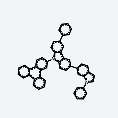 c1ccc(-c2ccc3c(c2)c2cc(-c4ccc5ccn(-c6ccccc6)c5c4)ccc2n3-c2ccc3c4ccccc4c4ccccc4c3c2)cc1